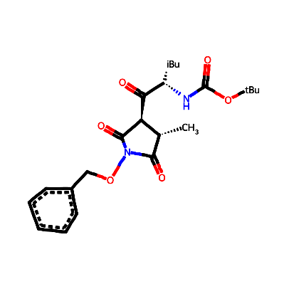 CC[C@@H](C)[C@H](NC(=O)OC(C)(C)C)C(=O)[C@@H]1C(=O)N(OCc2ccccc2)C(=O)[C@H]1C